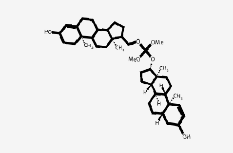 COC(OC)(OCC1CCC2C3CCC4=CC(O)CC[C@]4(C)C3CC[C@]12C)O[C@H]1CC[C@H]2[C@@H]3CC[C@H]4CC(O)C=C[C@]4(C)[C@H]3CC[C@]12C